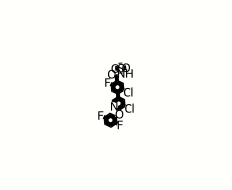 CS(=O)(=O)NC(=O)c1cc(Cl)c(-c2cnc(Oc3cc(F)ccc3F)c(Cl)c2)cc1F